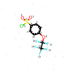 O=S(=O)(Cl)c1ccc(OC(F)(F)C(F)(F)F)cc1